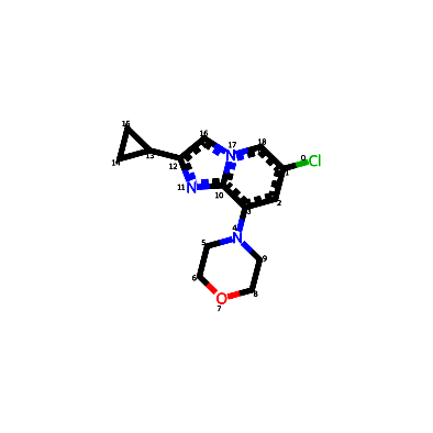 Clc1cc(N2CCOCC2)c2nc(C3CC3)cn2c1